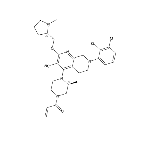 C=CC(=O)N1CCN(c2c(C#N)c(OC[C@@H]3CCCN3C)nc3c2CCN(c2cccc(Cl)c2Cl)C3)[C@@H](C)C1